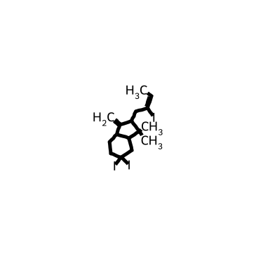 C=C1C2CCC(I)(I)CC2C(C)(C)C1C/C(I)=C\C